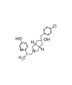 CC(CN1C[C@@H]2C[C@@](O)(Cc3ccc(Cl)cc3)C[C@@H]2C1)c1ccc(O)cn1